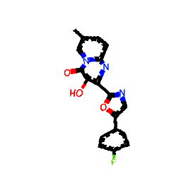 Cc1ccc2nc(-c3ncc(-c4ccc(F)cc4)o3)c(O)c(=O)n2c1